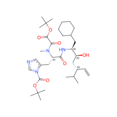 C=C[C@@H](C[C@H](O)[C@H](CC1CCCCC1)NC(=O)[C@H](Cc1cncn1C(=O)OC(C)(C)C)N(C)C(=O)C(=O)OC(C)(C)C)C(C)C